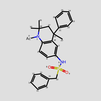 CC(=O)N1c2ccc(NS(=O)(=O)Cc3ccccc3)cc2C(C)(c2ccccc2)CC1(C)C